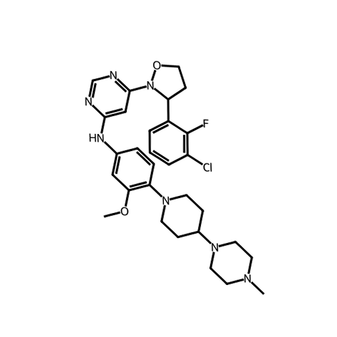 COc1cc(Nc2cc(N3OCCC3c3cccc(Cl)c3F)ncn2)ccc1N1CCC(N2CCN(C)CC2)CC1